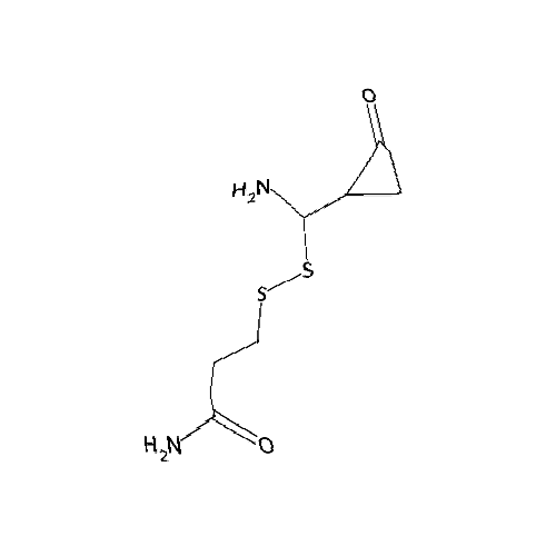 NC(=O)CCSSC(N)C1CC1=O